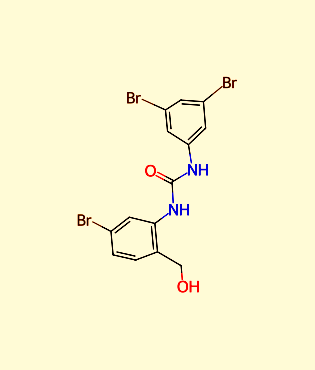 O=C(Nc1cc(Br)cc(Br)c1)Nc1cc(Br)ccc1CO